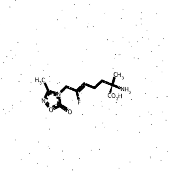 Cc1noc(=O)n1CC(F)=CCC[C@](C)(N)C(=O)O